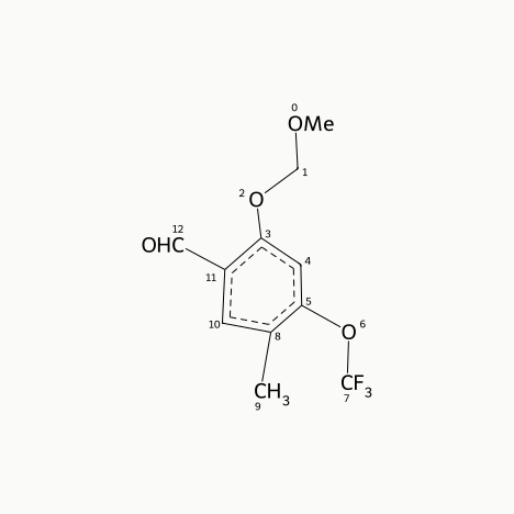 COCOc1cc(OC(F)(F)F)c(C)cc1C=O